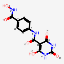 O=C(NO)c1ccc(NC(=O)c2c(O)[nH]c(=O)[nH]c2=O)cc1